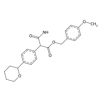 COc1ccc(COC(=O)C(C([NH])=O)c2ccc(C3CCCCO3)cc2)cc1